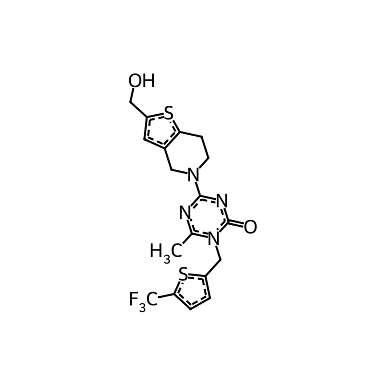 Cc1nc(N2CCc3sc(CO)cc3C2)nc(=O)n1Cc1ccc(C(F)(F)F)s1